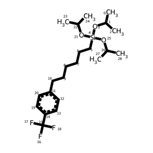 CC(C)O[Si](CCCCCCc1ccc(C(F)(F)F)cc1)(OC(C)C)OC(C)C